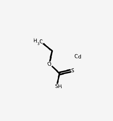 CCOC(=S)S.[Cd]